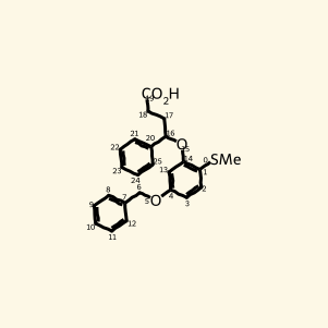 CSc1ccc(OCc2ccccc2)cc1OC(CCC(=O)O)c1ccccc1